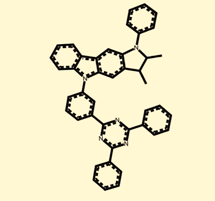 CC1c2cc3c(cc2N(c2ccccc2)C1C)c1ccccc1n3-c1cccc(-c2nc(-c3ccccc3)nc(-c3ccccc3)n2)c1